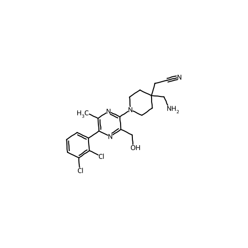 Cc1nc(N2CCC(CN)(CC#N)CC2)c(CO)nc1-c1cccc(Cl)c1Cl